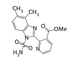 COC(=O)c1cccnc1-c1nc2c(C)c(C)ccc2n1S(N)(=O)=O